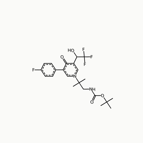 CC(C)(C)OC(=O)NCC(C)(C)n1cc(-c2ccc(F)cc2)c(=O)c(C(O)C(F)(F)F)c1